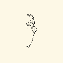 CCC/C=C\Oc1ccc(-c2ccc(-c3ccc(C4=CCC(CCCCCCCCCC)CC4)c(F)c3F)cc2)c(C)c1F